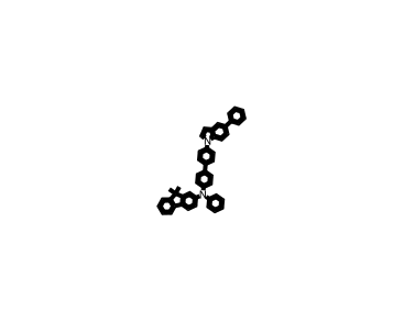 CC1(C)c2ccccc2-c2ccc(N(c3ccccc3)c3ccc(-c4ccc(-n5ccc6cc(-c7ccccc7)ccc65)cc4)cc3)cc21